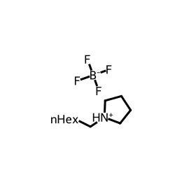 CCCCCCC[NH+]1CCCC1.F[B-](F)(F)F